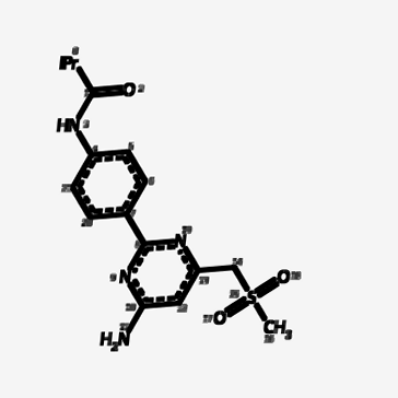 CC(C)C(=O)Nc1ccc(-c2nc(N)cc(CS(C)(=O)=O)n2)cc1